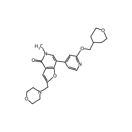 Cn1cc(-c2ccnc(OCC3CCOCC3)c2)c2oc(CN3CCOCC3)cc2c1=O